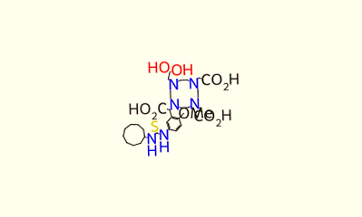 COc1ccc(NC(=S)NC2CCCCCCCC2)cc1C(C(=O)O)N1CCN(CC(=O)O)CCN(CC(=O)O)CCN(CC(O)O)CC1